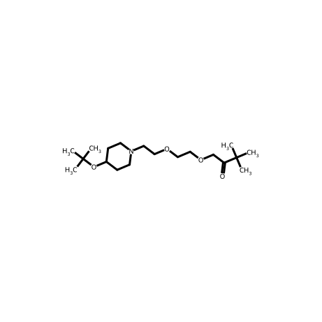 CC(C)(C)OC1CCN(CCOCCOCC(=O)C(C)(C)C)CC1